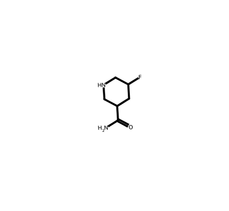 NC(=O)C1CNCC(F)C1